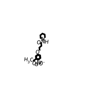 CC(=O)c1cc(OCCCC(=O)NN2CCCCC2)ccc1[N+](=O)[O-]